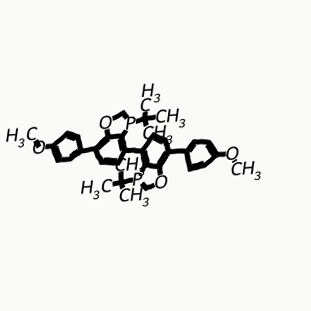 COc1ccc(-c2ccc(-c3ccc(-c4ccc(OC)cc4)c4c3P(C(C)(C)C)CO4)c3c2OCP3C(C)(C)C)cc1